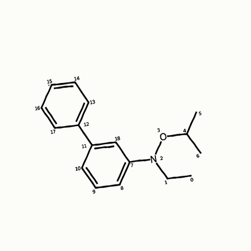 CCN(OC(C)C)c1cccc(-c2cc[c]cc2)c1